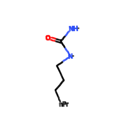 CCCCCC[N]C([NH])=O